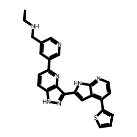 CCNCc1cncc(-c2ccc3[nH]nc(-c4cc5c(-c6cccs6)ccnc5[nH]4)c3n2)c1